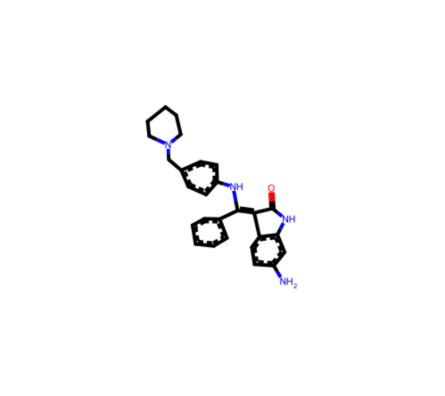 Nc1ccc2c(c1)NC(=O)/C2=C(\Nc1ccc(CN2CCCCC2)cc1)c1ccccc1